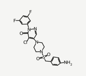 Nc1ccc(CS(=O)(=O)N2CCN(c3cnn(-c4cc(F)cc(F)c4)c(=O)c3Cl)CC2)cc1